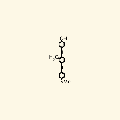 CSc1ccc(C#Cc2ccc(C#Cc3ccc(O)cc3)c(C)c2)cc1